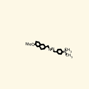 COc1ccc2cc(/C=N/N=C/c3ccc(N(C)C)cc3)ccc2c1